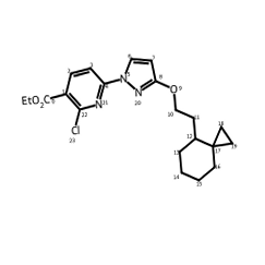 CCOC(=O)c1ccc(-n2ccc(OCCC3CCCCC34CC4)n2)nc1Cl